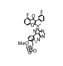 COc1ccc(-c2nn([C@H](C)c3oc4cccc(F)c4c(=O)c3-c3cccc(F)c3)c3ncnc(N)c23)cc1CN[SH](=O)=O